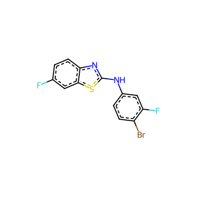 Fc1ccc2nc(Nc3ccc(Br)c(F)c3)sc2c1